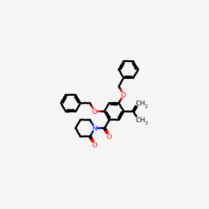 C=C(C)c1cc(C(=O)N2CCCCC2=O)c(OCc2ccccc2)cc1OCc1ccccc1